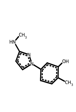 CNc1ccn(-c2ccc(C)c(O)c2)n1